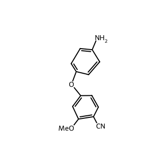 COc1cc(Oc2ccc(N)cc2)ccc1C#N